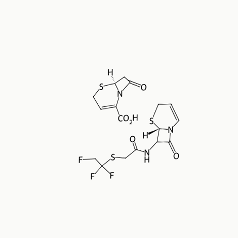 O=C(CSC(F)(F)CF)NC1C(=O)N2C=CCS[C@@H]12.O=C(O)C1=CCS[C@H]2CC(=O)N12